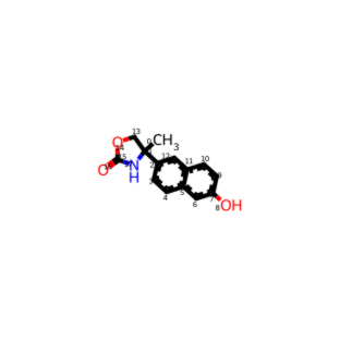 CC1(c2ccc3cc(O)ccc3c2)COC(=O)N1